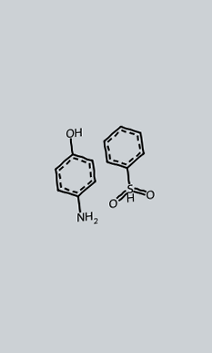 Nc1ccc(O)cc1.O=[SH](=O)c1ccccc1